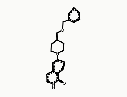 O=c1[nH]ccc2cc(N3CCC(COCc4ccccc4)CC3)ccc12